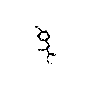 CC(C)OC(=O)/C(C#N)=C/c1ccc(C#N)cc1